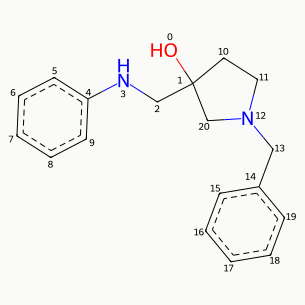 OC1(CNc2ccccc2)CCN(Cc2ccccc2)C1